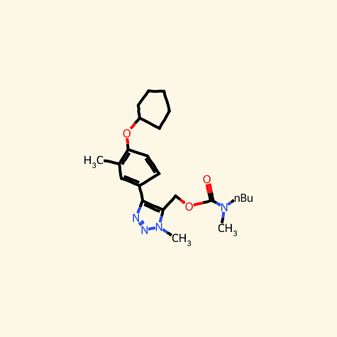 CCCCN(C)C(=O)OCc1c(-c2ccc(OC3CCCCC3)c(C)c2)nnn1C